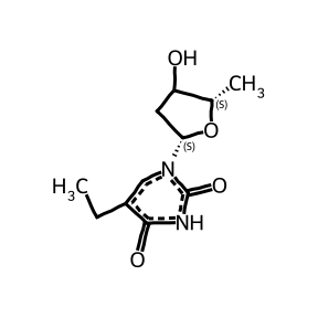 CCc1cn([C@@H]2CC(O)[C@H](C)O2)c(=O)[nH]c1=O